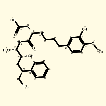 CC[C@@H](C[C@@H](O)[C@H](C)NC(=O)[C@H](CC(=O)O)NCCCc1ccc(OC)c(O)c1)c1ccccc1